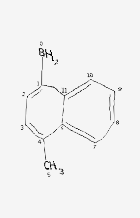 Bc1ccc(C)c2ccccc12